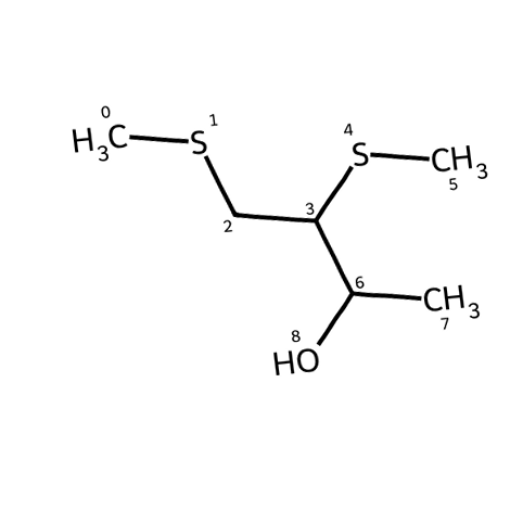 CSCC(SC)C(C)O